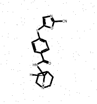 N#Cc1ncc(Sc2ccc(C(=O)N[C@H]3CN4CCC3CC4)cc2)o1